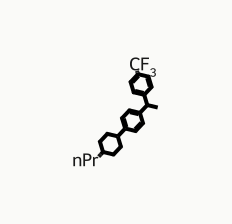 CCCC1CCC(c2ccc(C(C)c3ccc(C(F)(F)F)cc3)cc2)CC1